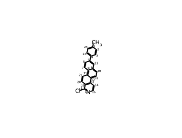 Cc1ccc(-c2ccc3c(ccc4c5ccnc(Cl)c5ccc34)c2)cc1